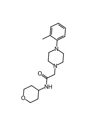 Cc1ccccc1N1CCN(CC(=O)NC2CCOCC2)CC1